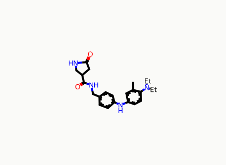 CCN(CC)c1ccc(Nc2ccc(CNC(=O)C3CNC(=O)C3)cc2)cc1C